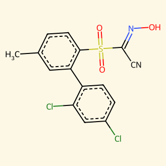 Cc1ccc(S(=O)(=O)/C(C#N)=N/O)c(-c2ccc(Cl)cc2Cl)c1